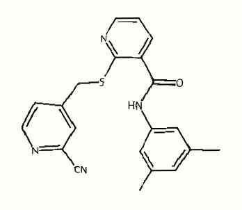 Cc1cc(C)cc(NC(=O)c2cccnc2SCc2ccnc(C#N)c2)c1